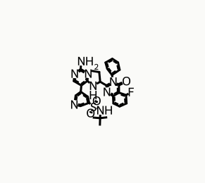 CCC(Nc1nc(N)ncc1-c1cncc(S(=O)(=O)NC(C)(C)C)c1)c1nc2cccc(F)c2c(=O)n1-c1ccccc1